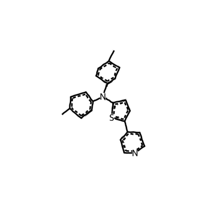 Cc1ccc(N(c2ccc(C)cc2)c2ccc(-c3ccncc3)s2)cc1